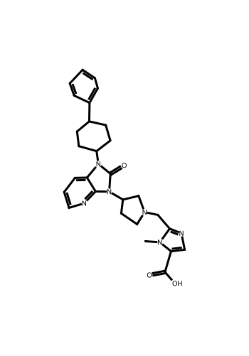 Cn1c(C(=O)O)cnc1CN1CCC(n2c(=O)n(C3CCC(c4ccccc4)CC3)c3cccnc32)C1